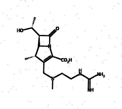 C[C@H]1C(CN(C)CCNC(=N)N)=C(C(=O)O)N2C(=O)[C@H]([C@@H](C)O)C12